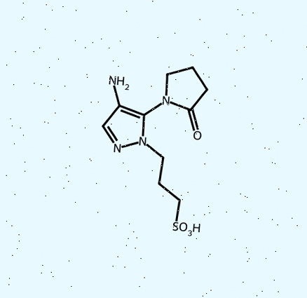 Nc1cnn(CCCS(=O)(=O)O)c1N1CCCC1=O